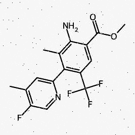 COC(=O)c1cc(C(F)(F)F)c(-c2cc(C)c(F)cn2)c(C)c1N